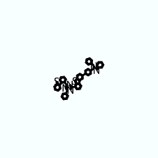 c1ccc(-c2nc(-c3cccc4c3sc3ccc(-c5ccc(-c6nc7ccccc7n6-c6ccccc6)cc5)cc34)nc(-c3cccc4sc5ccccc5c34)n2)cc1